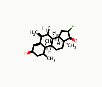 C=C1C2=CC(=O)CC(C)[C@]2(C)[C@@H]2CC[C@]3(C)C(=O)C(F)C[C@H]3[C@@H]2C1C